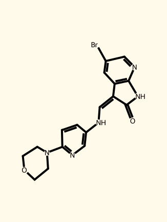 O=C1Nc2ncc(Br)cc2/C1=C/Nc1ccc(N2CCOCC2)nc1